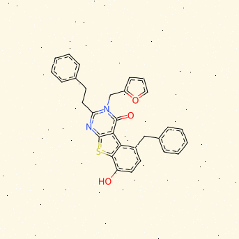 O=c1c2c(nc(CCc3ccccc3)n1Cc1ccco1)sc1c(O)ccc(Cc3ccccc3)c12